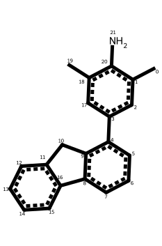 Cc1cc(-c2cccc3c2Cc2ccccc2-3)cc(C)c1N